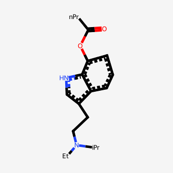 CCCC(=O)Oc1cccc2c(CCN(CC)C(C)C)c[nH]c12